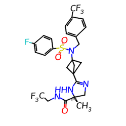 C[C@]1(C(=O)NCC(F)(F)F)CN=C(C23CC(N(Cc4ccc(C(F)(F)F)cc4)S(=O)(=O)c4ccc(F)cc4)(C2)C3)N1